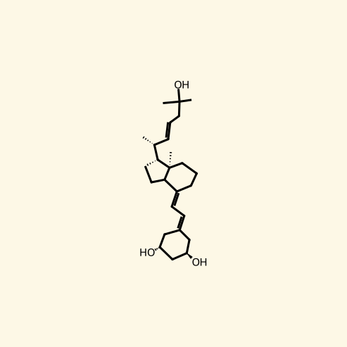 C[C@H](/C=C/CC(C)(C)O)[C@H]1CCC2/C(=C/C=C3C[C@@H](O)C[C@H](O)C3)CCC[C@@]21C